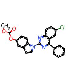 COC(=O)Oc1ccc2c(ccn2-c2nc(-c3ccccc3)c3cc(Cl)ccc3n2)c1